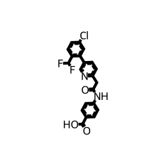 O=C(Cc1ccc(-c2cc(Cl)ccc2C(F)F)cn1)Nc1ccc(C(=O)O)cc1